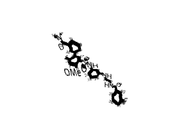 COc1cc(C)c(-c2cccc(C(=O)N(C)C)c2)cc1S(=O)(=O)Nc1cccc(NCCNC(=O)c2cccc(F)c2)c1